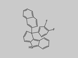 Fc1ccc(C2(c3ccc4ccccc4c3)C=CC=C3[SiH]=c4ccccc4=C32)cc1F